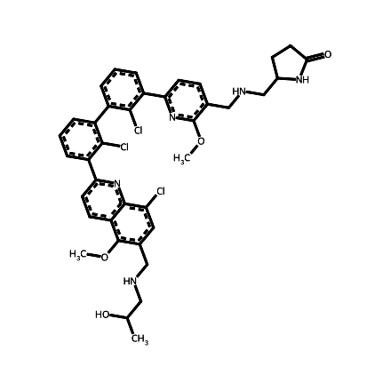 COc1nc(-c2cccc(-c3cccc(-c4ccc5c(OC)c(CNCC(C)O)cc(Cl)c5n4)c3Cl)c2Cl)ccc1CNCC1CCC(=O)N1